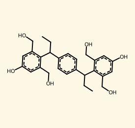 CCC(c1ccc(C(CC)c2c(CO)cc(O)cc2CO)cc1)c1c(CO)cc(O)cc1CO